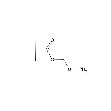 CC(C)(C)C(=O)OCOP